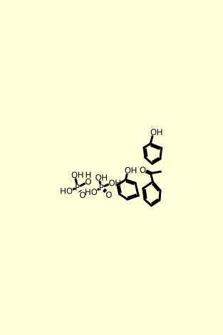 CC(=O)c1ccccc1.O=P(O)(O)O.O=P(O)(O)O.Oc1ccccc1.Oc1ccccc1